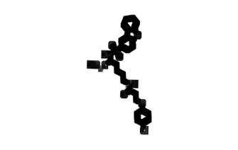 O=C(CCOc1ccc(Cl)cc1)NCCCCC(NS(=O)(=O)c1ccc2oc3ccccc3c2c1)C(=O)O